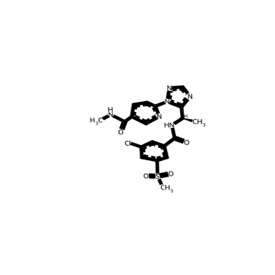 CNC(=O)c1ccc(-n2ncnc2[C@@H](C)NC(=O)c2cc(Cl)cc(S(C)(=O)=O)c2)nc1